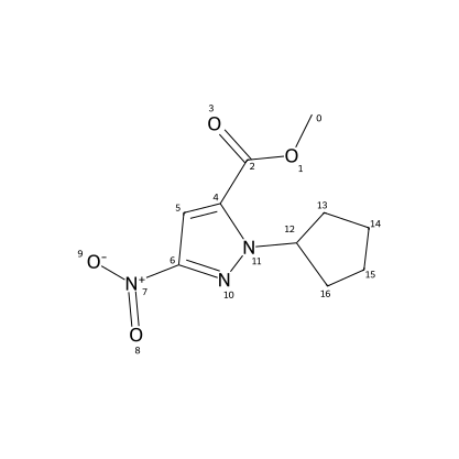 COC(=O)c1cc([N+](=O)[O-])nn1C1CCCC1